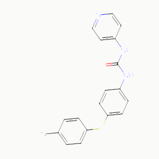 O=C(Nc1ccncc1)Nc1ccc(Sc2ccc([N+](=O)[O-])cc2)cc1